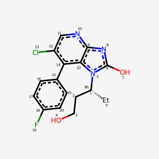 CC[C@H](CCO)n1c(O)nc2ncc(Cl)c(-c3ccc(F)cc3)c21